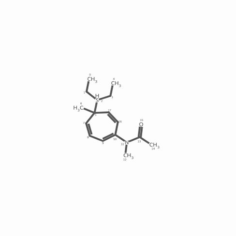 CC[SH](CC)C1(C)C=CC=C(N(C)C(C)=O)C=C1